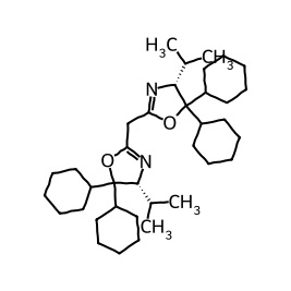 CC(C)[C@H]1N=C(CC2=N[C@H](C(C)C)C(C3CCCCC3)(C3CCCCC3)O2)OC1(C1CCCCC1)C1CCCCC1